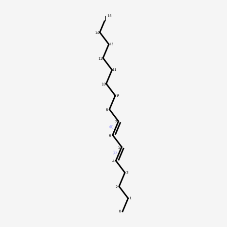 CCCC/C=C/C=C/CCCCCCCI